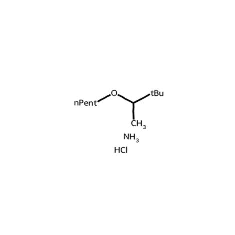 CCCCCOC(C)C(C)(C)C.Cl.N